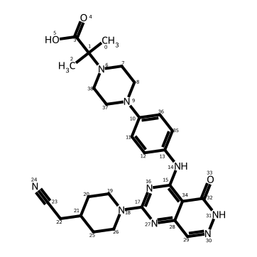 CC(C)(C(=O)O)N1CCN(c2ccc(Nc3nc(N4CCC(CC#N)CC4)nc4cn[nH]c(=O)c34)cc2)CC1